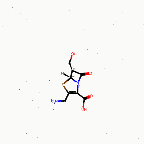 NCC1=C(C(=O)O)N2C(=O)[C@H](CO)[C@H]2S1